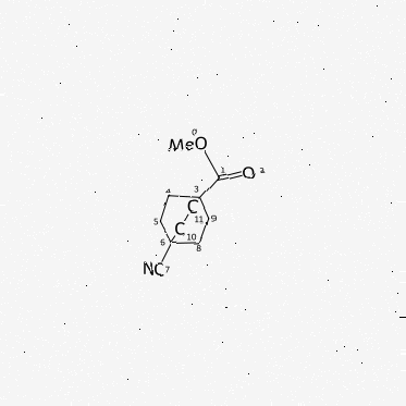 COC(=O)C12CCC(C#N)(CC1)CC2